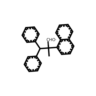 CC([C]=O)(c1cccc2ccccc12)C(c1ccccc1)c1ccccc1